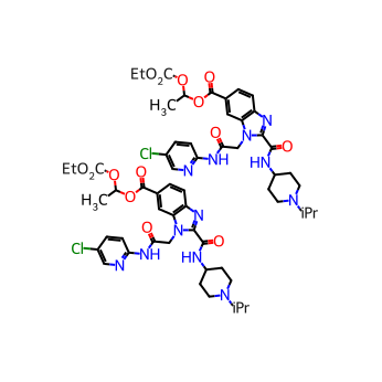 CCOC(=O)OC(C)OC(=O)c1ccc2nc(C(=O)NC3CCN(C(C)C)CC3)n(CC(=O)Nc3ccc(Cl)cn3)c2c1.CCOC(=O)OC(C)OC(=O)c1ccc2nc(C(=O)NC3CCN(C(C)C)CC3)n(CC(=O)Nc3ccc(Cl)cn3)c2c1